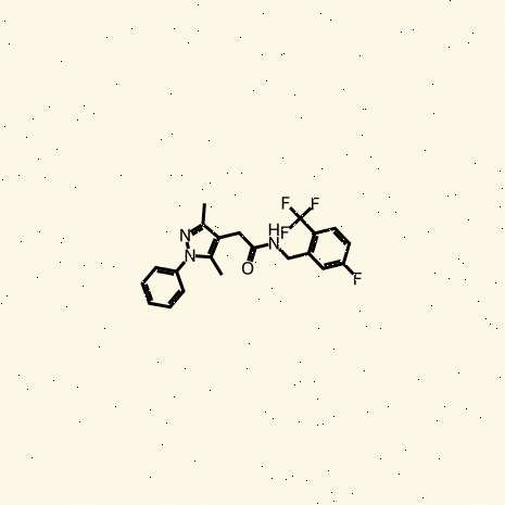 Cc1nn(-c2ccccc2)c(C)c1CC(=O)NCc1cc(F)ccc1C(F)(F)F